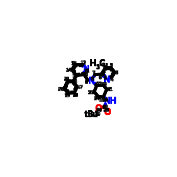 Cc1cccnc1CN(Cc1ncccc1-c1ccccc1)C1CCC(NC(=O)OC(C)(C)C)CC1